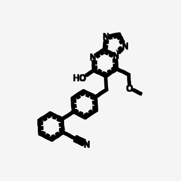 COCc1c(Cc2ccc(-c3ccccc3C#N)cc2)c(O)nc2ncnn12